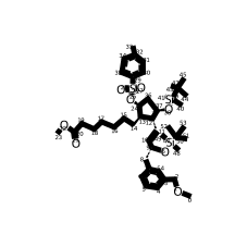 COCc1cccc(C[C@H](/C=C/[C@@H]2[C@@H](CCCCCCC(=O)OC)[C@@H](OS(=O)(=O)c3ccc(C)cc3)C[C@H]2O[Si](C)(C)C(C)(C)C)O[Si](C)(C)C(C)(C)C)c1